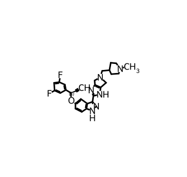 C#C[C@@H](Oc1ccc2[nH]nc(-c3nc4c([nH]3)CN(CC3CCN(C)CC3)C4)c2c1)c1cc(F)cc(F)c1